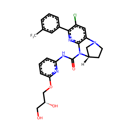 O=C(Nc1cccc(OC[C@H](O)CO)n1)N1c2nc(-c3cccc(C(F)(F)F)c3)c(Cl)cc2N2CC[C@H]1C2